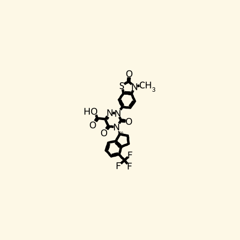 Cn1c(=O)sc2cc(-n3nc(C(=O)O)c(=O)n([C@@H]4CCc5c4cccc5C(F)(F)F)c3=O)ccc21